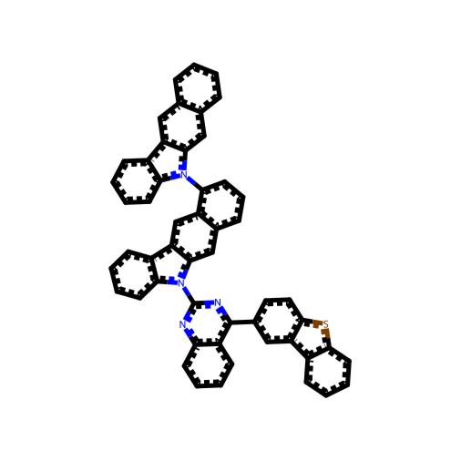 c1ccc2cc3c(cc2c1)c1ccccc1n3-c1cccc2cc3c(cc12)c1ccccc1n3-c1nc(-c2ccc3sc4ccccc4c3c2)c2ccccc2n1